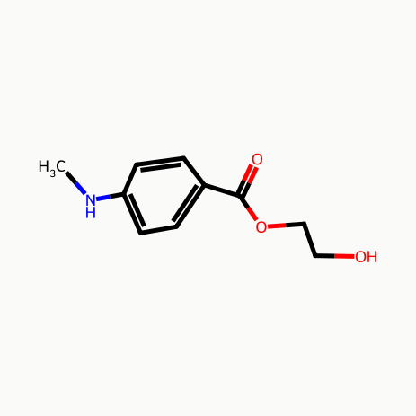 CNc1ccc(C(=O)OCCO)cc1